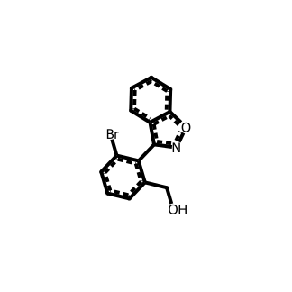 OCc1cccc(Br)c1-c1noc2ccccc12